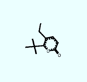 CCc1ccc(=O)oc1C(C)(C)C